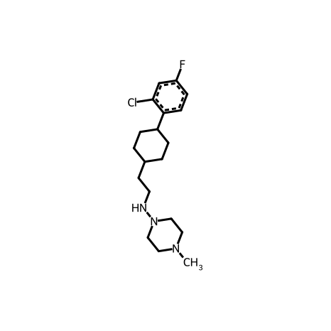 CN1CCN(NCCC2CCC(c3ccc(F)cc3Cl)CC2)CC1